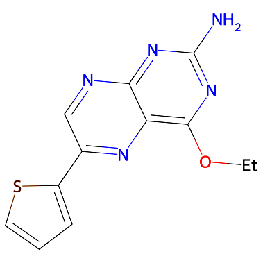 CCOc1nc(N)nc2ncc(-c3cccs3)nc12